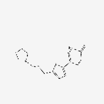 O=C1CCC(c2ccc(CCCN3CCCC3)s2)=NN1